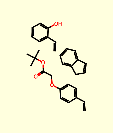 C1=Cc2ccccc2C1.C=Cc1ccc(OCC(=O)OC(C)(C)C)cc1.C=Cc1ccccc1O